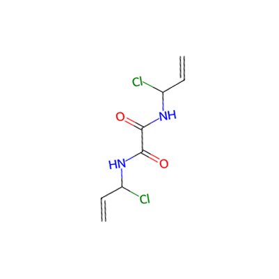 C=CC(Cl)NC(=O)C(=O)NC(Cl)C=C